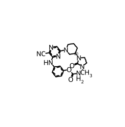 CN1CCN([C@@H]2CCCN(c3cnc(C#N)c(Nc4cccc(OC(N)=O)c4)n3)C2)C1=O